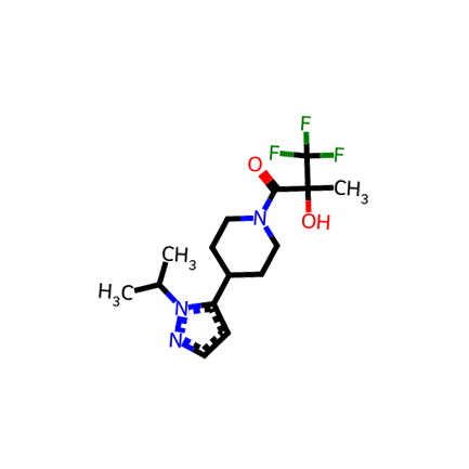 CC(C)n1nccc1C1CCN(C(=O)C(C)(O)C(F)(F)F)CC1